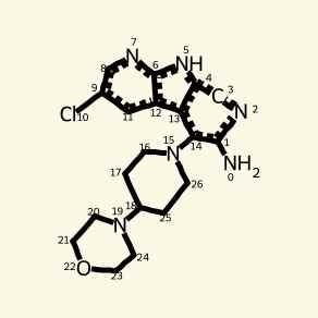 Nc1ncc2[nH]c3ncc(Cl)cc3c2c1N1CCC(N2CCOCC2)CC1